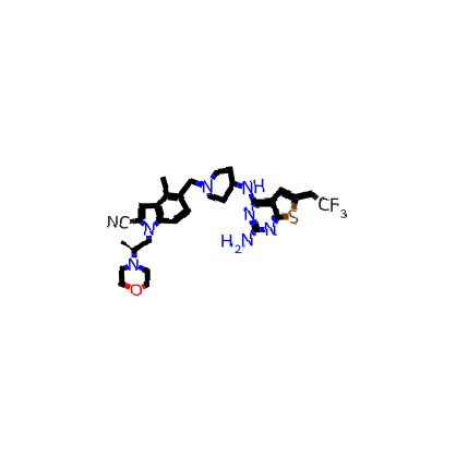 Cc1c(CN2CCC(Nc3nc(N)nc4sc(CC(F)(F)F)cc34)CC2)ccc2c1cc(C#N)n2C[C@H](C)N1CCOCC1